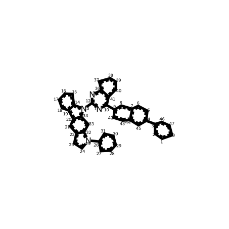 c1ccc(-c2ccc3cc(-c4nc(-n5c6ccccc6c6cc7ccn(-c8ccccc8)c7cc65)nc5ccccc45)ccc3c2)cc1